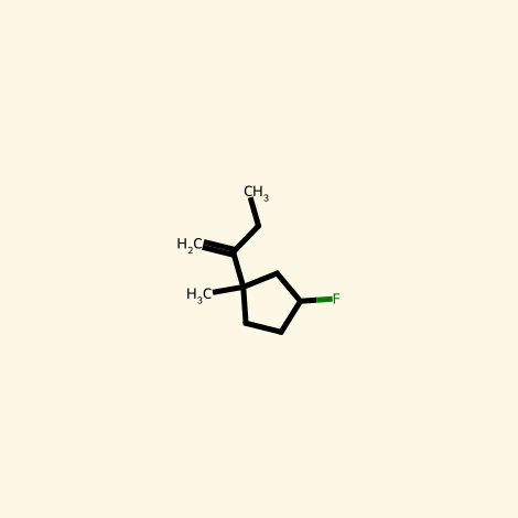 C=C(CC)C1(C)CCC(F)C1